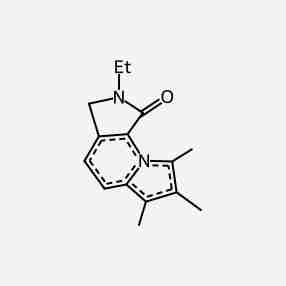 CCN1Cc2ccc3c(C)c(C)c(C)n3c2C1=O